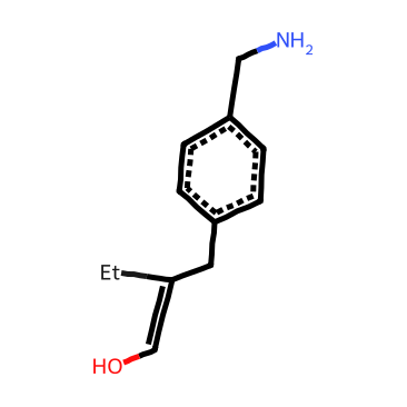 CC/C(=C\O)Cc1ccc(CN)cc1